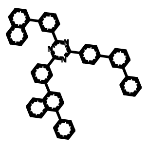 c1ccc(-c2cccc(-c3ccc(-c4nc(-c5cccc(-c6cccc7ccccc67)c5)nc(-c5cccc(-c6ccc(-c7ccccc7)c7ccccc67)c5)n4)cc3)c2)cc1